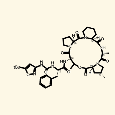 CC1OC(=O)[C@@H]2C[C@@H](C)CN2C(=O)[C@H](C)NC(=O)[C@@H]2CCCCN2C(=O)[C@@H]2CCCN2C(=O)[C@H]1NC(=O)[C@H](Cc1ccccc1)NC(=O)Nc1cc(C(C)(C)C)on1